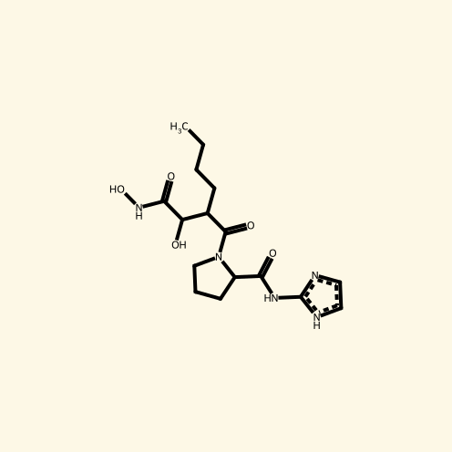 CCCCC(C(=O)N1CCCC1C(=O)Nc1ncc[nH]1)C(O)C(=O)NO